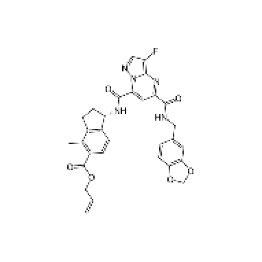 C=CCOC(=O)c1ccc2c(c1C)CC[C@@H]2NC(=O)c1cc(C(=O)NCc2ccc3c(c2)OCO3)nc2c(F)cnn12